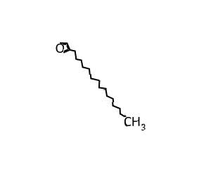 CCCCCCCCCCCCCCCCc1ccoc1